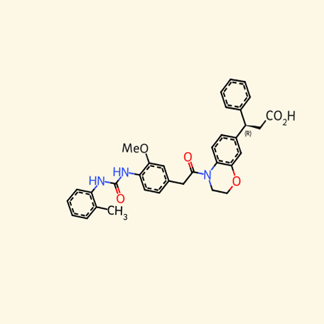 COc1cc(CC(=O)N2CCOc3cc([C@H](CC(=O)O)c4ccccc4)ccc32)ccc1NC(=O)Nc1ccccc1C